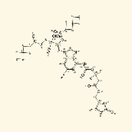 C#CC(COC(=O)C1CC2(CCC2)C1)(OC)[C@H](Cn1cnc2c(NC(=O)OC(C)(C)CC(=O)OCc3oc(=O)oc3C)nc(F)nc21)OC(=O)C1CC2(CCC2)C1